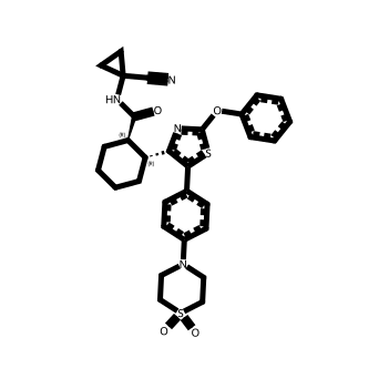 N#CC1(NC(=O)[C@@H]2CCCC[C@H]2c2nc(Oc3ccccc3)sc2-c2ccc(N3CCS(=O)(=O)CC3)cc2)CC1